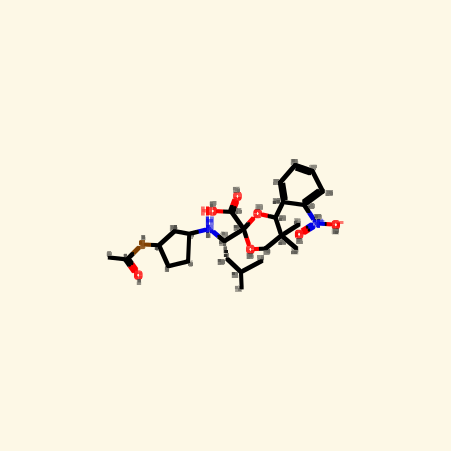 CC(=O)SC1CCC(N[C@@H](CC(C)C)C2(C(=O)O)OCC(C)(C)C(c3ccccc3[N+](=O)[O-])O2)C1